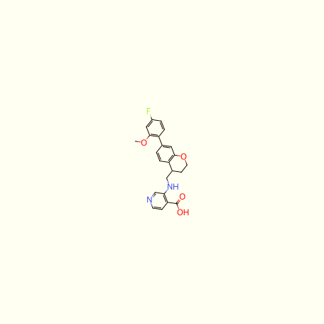 COc1cc(F)ccc1-c1ccc2c(c1)OCCC2CNc1cnccc1C(=O)O